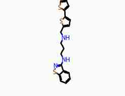 c1csc(-c2ccc(CNCCCNc3nsc4ccccc34)s2)c1